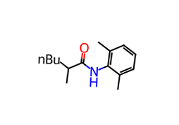 CCCCC(C)C(=O)Nc1c(C)cccc1C